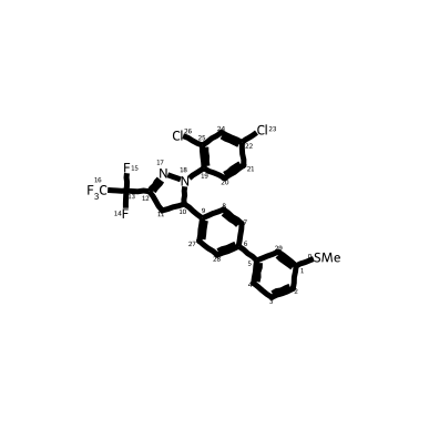 CSc1cccc(-c2ccc(C3CC(C(F)(F)C(F)(F)F)=NN3c3ccc(Cl)cc3Cl)cc2)c1